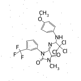 COc1ccc(NC(N=C2C(=O)N(C)C(=O)N2c2cccc(C(F)(F)F)c2)C(Cl)(Cl)Cl)cc1